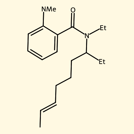 CC=CCCCC(CC)N(CC)C(=O)c1ccccc1NC